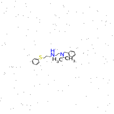 CC(C)N(CCNCCCSc1ccccc1)Cc1ccccc1